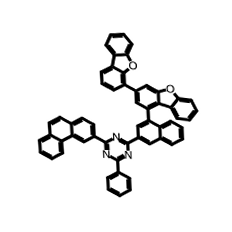 c1ccc(-c2nc(-c3cc(-c4cc(-c5cccc6c5oc5ccccc56)cc5oc6ccccc6c45)c4ccccc4c3)nc(-c3ccc4ccc5ccccc5c4c3)n2)cc1